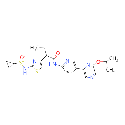 CCC(C(=O)Nc1ccc(-c2cncc(OC(C)C)n2)cn1)c1csc(N[S+]([O-])C2CC2)n1